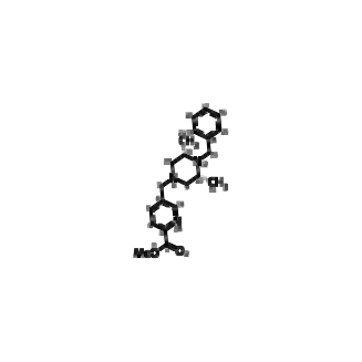 COC(=O)c1ccc(CN2C[C@@H](C)N(Cc3ccccc3)[C@@H](C)C2)cn1